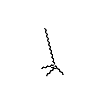 CCCCCCCCCCCCCCCCCC[Si](CCCCCC)(CCCCCC)C(C)(C)CCCCC